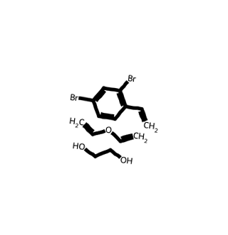 C=COC=C.C=Cc1ccc(Br)cc1Br.OCCO